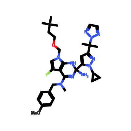 COc1ccc(CN(C)C2=NC(N)(c3cc(C(C)(C)n4nccn4)nn3C3CC3)Nc3c2c(F)cn3COCC[Si](C)(C)C)cc1